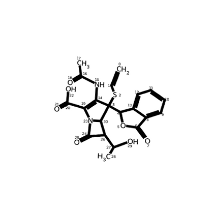 C=CSC1(C2OC(=O)c3ccccc32)C(NC(C)=O)=C(C(=O)O)N2C(=O)C(C(C)O)C21